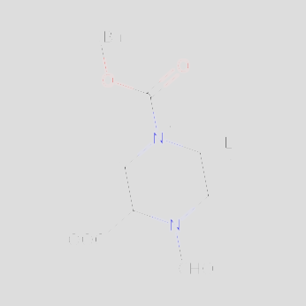 CC(C)(C)OC(=O)N1CCN(C=O)C(C(=O)[O-])C1.[Li+]